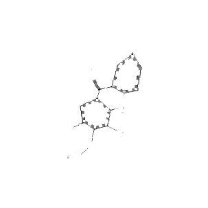 CCCCCCCCCOc1c(O)cc(C(=O)c2ccccc2)c(O)c1O